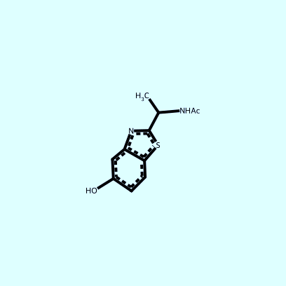 CC(=O)NC(C)c1nc2cc(O)ccc2s1